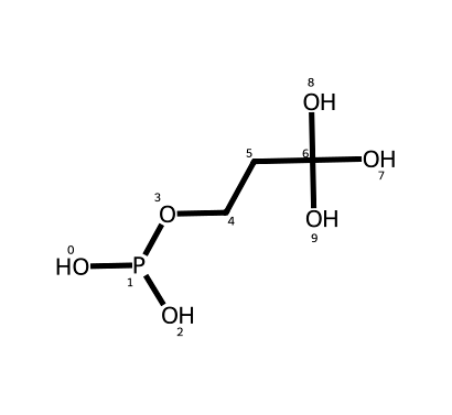 OP(O)OCCC(O)(O)O